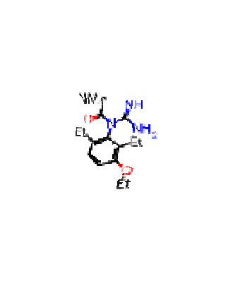 CCOc1ccc(CC)c(N(C(=N)N)C(=O)NC)c1CC